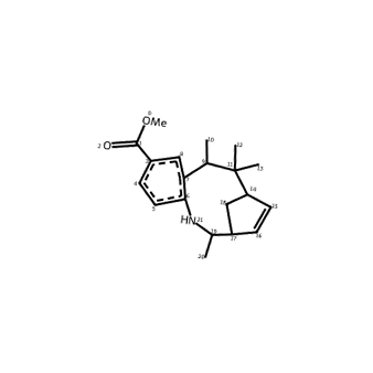 COC(=O)c1ccc2c(c1)C(C)C(C)(C)C1C=CC(C1)C(C)N2